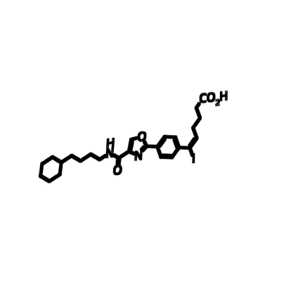 O=C(O)CCC/C=C(/I)c1ccc(-c2nc(C(=O)NCCCCC3CCCCC3)co2)cc1